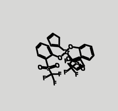 O=S(=O)(c1ccccc1[O][Zr]([O]c1ccccc1S(=O)(=O)C(F)(F)F)([C]1=CC=CC1)[C]1=CC=CC1)C(F)(F)F